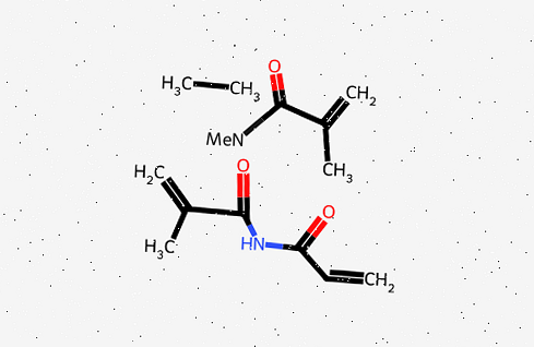 C=C(C)C(=O)NC.C=CC(=O)NC(=O)C(=C)C.CC